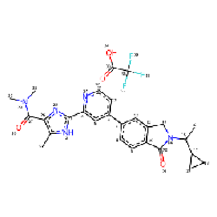 Cc1[nH]c(-c2cc(-c3ccc4c(c3)CN(C(C)C3CC3)C4=O)ccn2)nc1C(=O)N(C)C.O=C(O)C(F)(F)F